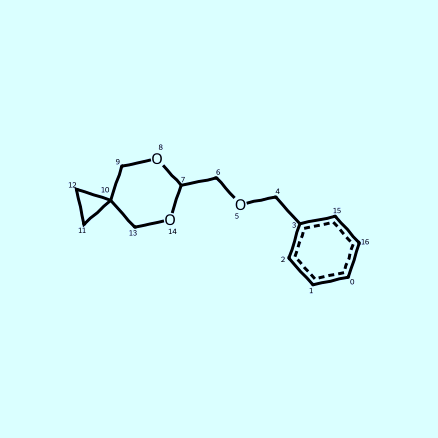 c1ccc(COCC2OCC3(CC3)CO2)cc1